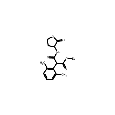 CCOC(=S)C(C(=S)NC1CCOC1=O)c1c(C)cccc1C